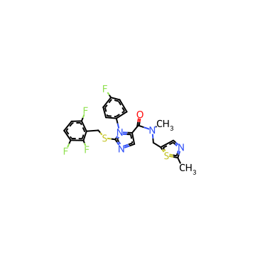 Cc1ncc(CN(C)C(=O)c2cnc(SCc3c(F)ccc(F)c3F)n2-c2ccc(F)cc2)s1